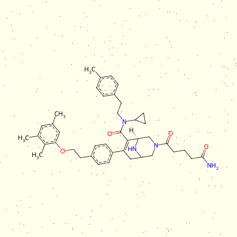 Cc1ccc(CCN(C(=O)C2=C(c3ccc(CCOc4cc(C)cc(C)c4C)cc3)CC3CN(C(=O)CCCC(N)=O)C[C@H]2N3)C2CC2)cc1